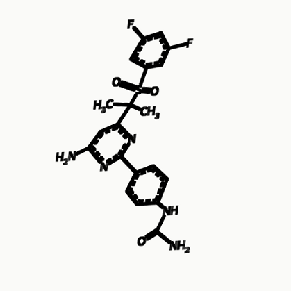 CC(C)(c1cc(N)nc(-c2ccc(NC(N)=O)cc2)n1)S(=O)(=O)c1cc(F)cc(F)c1